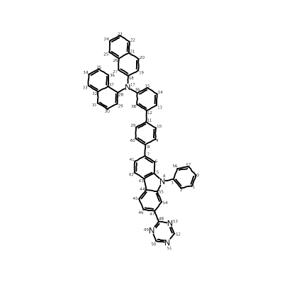 c1ccc(-n2c3cc(-c4ccc(-c5cccc(N(c6ccc7ccccc7c6)c6cccc7ccccc67)c5)cc4)ccc3c3ccc(-c4ncncn4)cc32)cc1